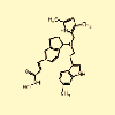 Cc1ccc2c(CCN(Cc3[nH]c(C)cc3C)C3CCc4cc(C=CC(=O)NO)ccc43)c[nH]c2c1